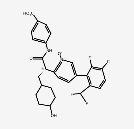 O=C(O)c1ccc(NC(=O)[C@@H](CC2CCC(O)CC2)c2ccc(-c3c(C(F)F)ccc(Cl)c3F)c[n+]2[O-])cc1